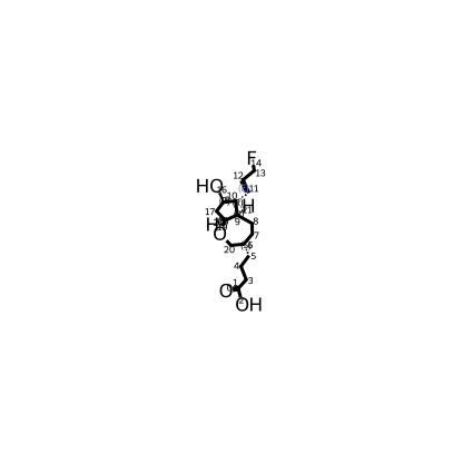 O=C(O)CCC[C@H]1CC[C@@H]2[C@@H](/C=C/CF)[C@H](O)C[C@@H]2OC1